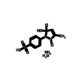 CC1=CC(O)(Cl)N(c2ccc(S(=O)(=O)O)cc2)N1Cl.O.O